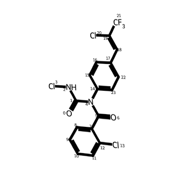 O=C(NCl)N(C(=O)c1ccccc1Cl)c1ccc(C=C(Cl)C(F)(F)F)cc1